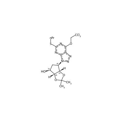 CCCSc1nc(OCC(Cl)(Cl)Cl)c2nnn([C@@H]3C[C@H](O)[C@H]4OC(C)(C)O[C@H]43)c2n1